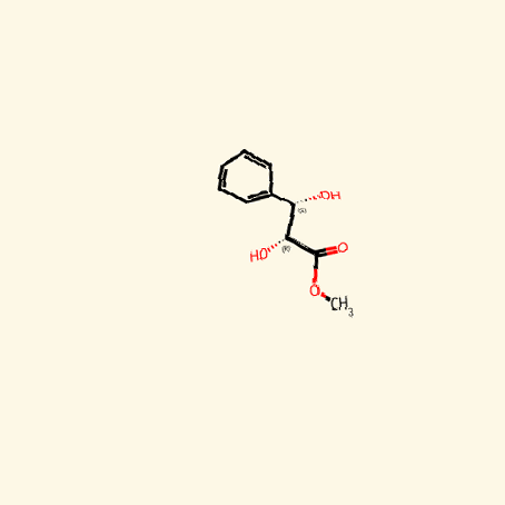 COC(=O)[C@H](O)[C@@H](O)c1ccccc1